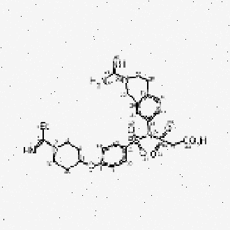 CCC(=N)N1CCC(Oc2ccc(S(=O)(=O)N(c3ccc4c(c3)CN(C(=N)N)CC4)S(=O)(=O)CC(=O)O)cc2)CC1